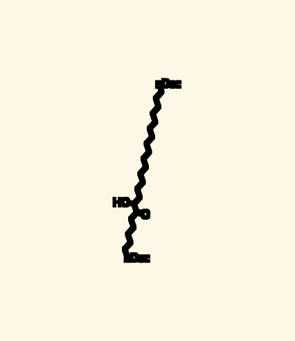 CCCCCCCCCCCCCCCCCCCCCCCCCC(O)C(=O)CCCCCCCCCCCCCCC